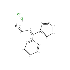 [Cl-].[Cl-].[Ru+2]=[CH]C=C(c1ccccc1)c1ccccc1